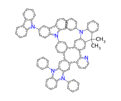 CC1(C)c2ccccc2N(c2ccccc2)c2cc3c4cc(-n5c6ccccc6c6cc(-n7c8ccccc8c8ccccc87)ccc65)ccc4c4cc5c(cc4c4cccnc4c3cc21)n(-c1ccccc1)c1ccccc1n5-c1ccccc1